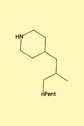 CCCCCCC(C)CC1CCNCC1